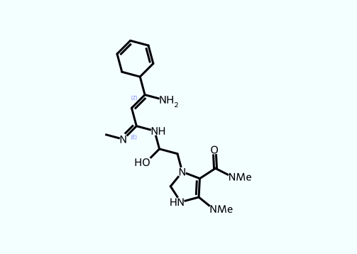 C/N=C(\C=C(/N)C1C=CC=CC1)NC(O)CN1CNC(NC)=C1C(=O)NC